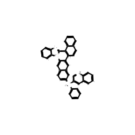 O=P(c1ccccc1)(c1ccc2cc3c(cc2c1)c1ccc2ccccc2c1c1nc2ccccc2n31)c1cnc2ccccc2c1